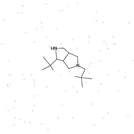 CC(C)(C)CN1CC2CNC(C(C)(C)C)C2C1